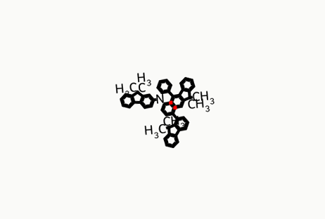 CC1(C)c2ccccc2-c2ccc(N(c3ccc(-c4cccc5c4C(C)(C)c4ccccc4-5)cc3)c3ccccc3-c3cccc4c3-c3ccccc3C4(C)C)cc21